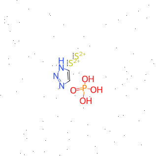 O=P(O)(O)O.[S+2].[S+2].c1c[nH]nn1